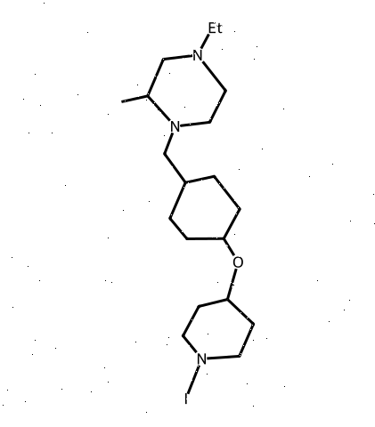 CCN1CCN(CC2CCC(OC3CCN(I)CC3)CC2)C(C)C1